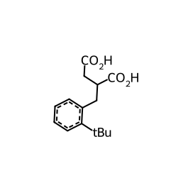 CC(C)(C)c1ccccc1CC(CC(=O)O)C(=O)O